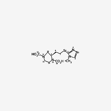 Cn1cnnc1SCC[C@@H]1CN(C(=O)O)CCN1C(=O)O